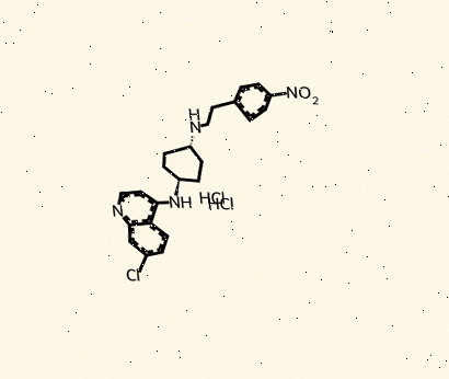 Cl.Cl.O=[N+]([O-])c1ccc(CCN[C@H]2CC[C@H](Nc3ccnc4cc(Cl)ccc34)CC2)cc1